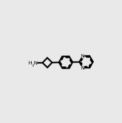 NC1CC(c2ccc(-c3ncccn3)cc2)C1